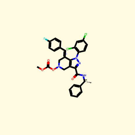 COC(=O)ON1C/C(=C\c2ccc(F)cc2)c2c(c(C(=O)N[C@H](C)c3ccccc3)nn2-c2ccc(Cl)cc2Cl)C1